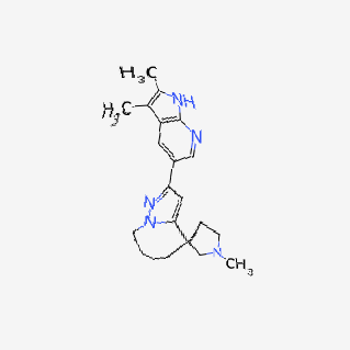 Cc1[nH]c2ncc(-c3cc4n(n3)CCCC43CCN(C)C3)cc2c1C